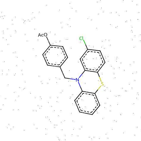 CC(=O)Oc1ccc(CN2c3ccccc3Sc3ccc(Cl)cc32)cc1